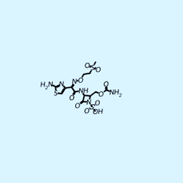 CS(=O)(=O)CCON=C(C(=O)NC1C(=O)N(S(=O)(=O)O)C1COC(N)=O)c1csc(N)n1